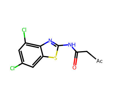 CC(=O)CC(=O)Nc1nc2c(Cl)cc(Cl)cc2s1